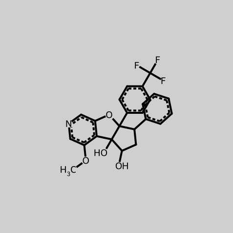 COc1cncc2c1C1(O)C(O)CC(c3ccccc3)C1(c1ccc(C(F)(F)F)cc1)O2